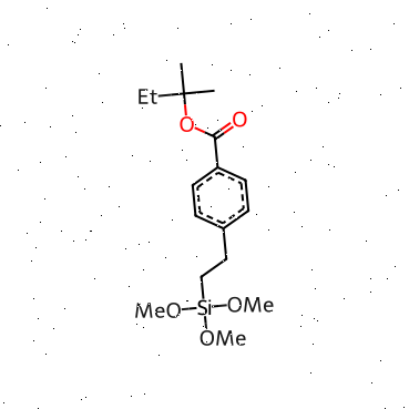 CCC(C)(C)OC(=O)c1ccc(CC[Si](OC)(OC)OC)cc1